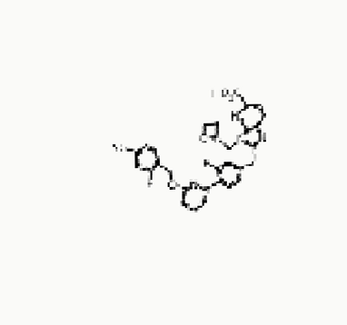 N#Cc1ccc(COc2cccc(-c3ccc(Cc4nc5ccc(C(=O)O)nc5n4C[C@@H]4CCO4)cc3F)n2)c(F)c1